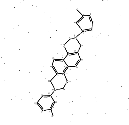 Cc1cccc(N2COc3c(ccc4c5c(ccc34)CN(c3cccc(C)c3)CO5)C2)c1